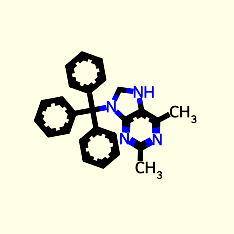 Cc1nc(C)c2c(n1)N(C(c1ccccc1)(c1ccccc1)c1ccccc1)CN2